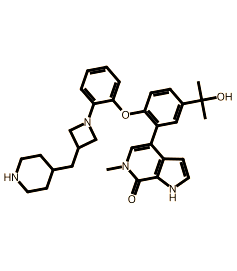 Cn1cc(-c2cc(C(C)(C)O)ccc2Oc2ccccc2N2CC(CC3CCNCC3)C2)c2cc[nH]c2c1=O